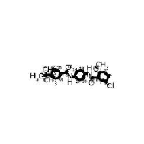 COc1ccc(Cl)cc1C(=O)Nc1ccc(NC(=O)c2ccc(C(C)(C)C)cc2)cc1